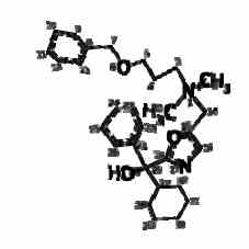 C[N+](C)(CCCOCc1ccccc1)Cc1cnc(C(O)(c2ccccc2)C2CCCCC2)o1